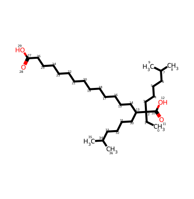 CCC(CCCCC(C)C)(C(=O)O)C(CCCCCCCCCCCCCC(=O)O)CCCCC(C)C